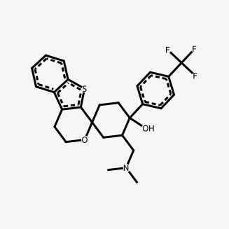 CN(C)CC1CC2(CCC1(O)c1ccc(C(F)(F)F)cc1)OCCc1c2sc2ccccc12